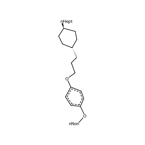 CCCCCCCCCOc1ccc(OCCC[C@H]2CC[C@H](CCCCCCC)CC2)cc1